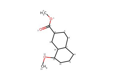 COC(=O)C1CCC2CCCC(OC)C2C1